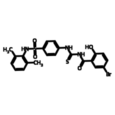 Cc1cccc(C)c1NS(=O)(=O)c1ccc(NC(=S)NC(=O)c2cc(Br)ccc2O)cc1